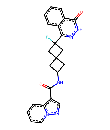 O=C(NC1CC2(C1)CC(F)(c1n[nH]c(=O)c3ccccc13)C2)c1cnn2ccccc12